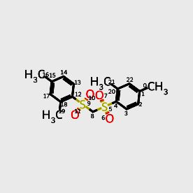 Cc1ccc(S(=O)(=O)CS(=O)(=O)c2ccc(C)cc2C)c(C)c1